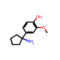 COc1cc(C2(N)CCCC2)ccc1O